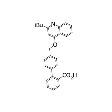 CCC(C)c1cc(OCc2ccc(-c3ccccc3C(=O)O)cc2)c2ccccc2n1